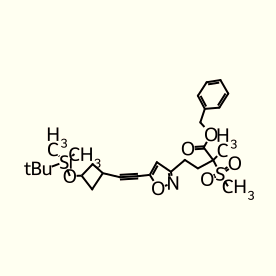 CC(C)(C)[Si](C)(C)OC1CC(C#Cc2cc(CCC(C)(C(=O)OCc3ccccc3)S(C)(=O)=O)no2)C1